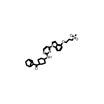 CS(=O)(=O)CCCOc1cccc2c1ccn2-c1ccnc(NC2CCC(C(=O)C3CC4CCC3C4)CC2)n1